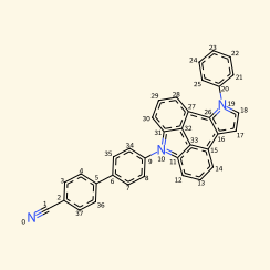 N#Cc1ccc(-c2ccc(-n3c4cccc5c6ccn(-c7ccccc7)c6c6cccc3c6c54)cc2)cc1